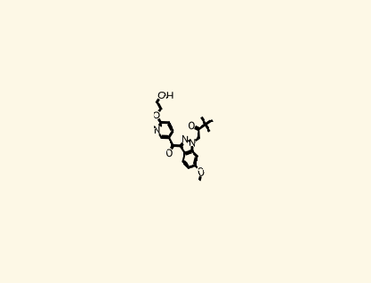 COc1ccc2c(C(=O)c3ccc(OCCO)nc3)nn(CC(=O)C(C)(C)C)c2c1